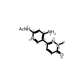 CC(=O)Nc1cc(N)c(-c2ccc(=O)n(C)n2)cn1